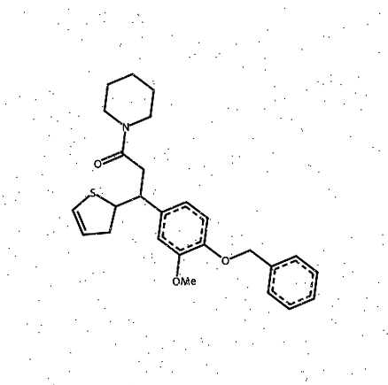 COc1cc(C(CC(=O)N2CCCCC2)C2CC=CS2)ccc1OCc1ccccc1